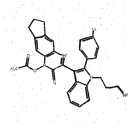 CC(=O)On1c(=O)c(-c2c(-c3ccc(Cl)cc3)n(CCCN)c3ccccc23)nc2cc3c(cc21)CCC3